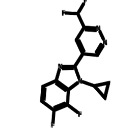 Fc1ccc2nc(-c3cnnc(C(F)F)c3)n(C3CC3)c2c1F